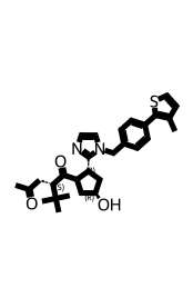 CC(=O)C[C@H](C(=O)C1C[C@H](O)C[C@H]1c1nccn1Cc1ccc(-c2sccc2C)cc1)C(C)(C)C